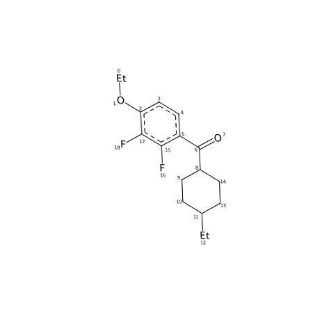 CCOc1ccc(C(=O)C2CCC(CC)CC2)c(F)c1F